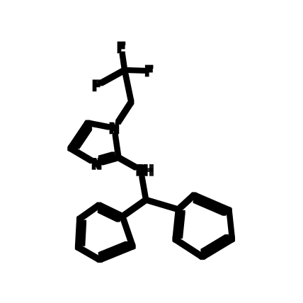 FC(F)(F)Cn1ccnc1BC(c1ccccc1)c1ccccc1